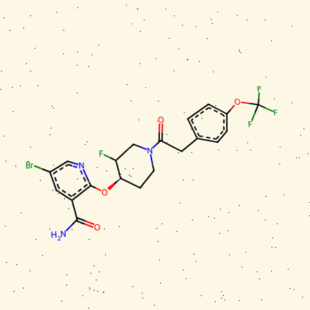 NC(=O)c1cc(Br)cnc1O[C@@H]1CCN(C(=O)Cc2ccc(OC(F)(F)F)cc2)CC1F